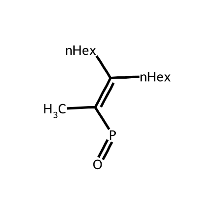 CCCCCCC(CCCCCC)=C(C)P=O